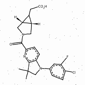 CC1(C)CN(c2ccc(Cl)c(F)c2)c2ccc(C(=O)N3C[C@@H]4C(CC(=O)O)[C@@H]4C3)nc21